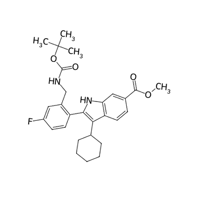 COC(=O)c1ccc2c(C3CCCCC3)c(-c3ccc(F)cc3CNC(=O)OC(C)(C)C)[nH]c2c1